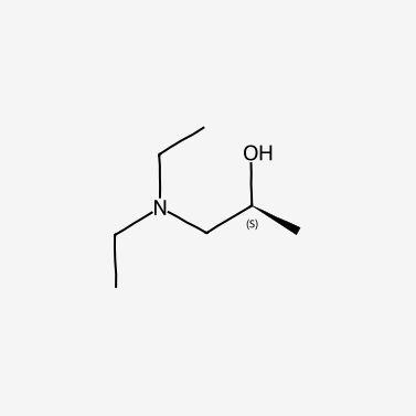 CCN(CC)C[C@H](C)O